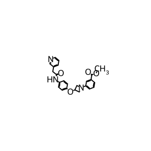 COC(=O)c1cccc(N2CC(Oc3ccc(NC(=O)Cc4cccnc4)cc3)C2)c1